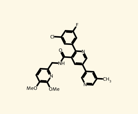 COc1ccc(CNC(=O)c2cc(-c3cncc(C)c3)cnc2-c2cc(F)cc(Cl)c2)nc1OC